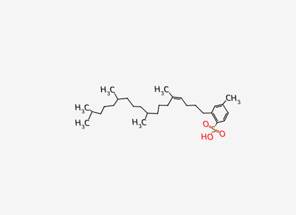 CC(=CCCCc1cc(C)ccc1S(=O)(=O)O)CCCC(C)CCCC(C)CCCC(C)C